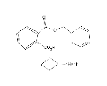 CCCCCCCC1CCC1.O=C(O)c1ccccc1C(=O)OCc1ccccc1